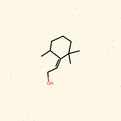 CC1CCCC(C)(C)C1=CCO